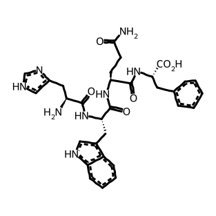 NC(=O)CC[C@H](NC(=O)[C@H](Cc1c[nH]c2ccccc12)NC(=O)[C@@H](N)Cc1c[nH]cn1)C(=O)N[C@@H](Cc1ccccc1)C(=O)O